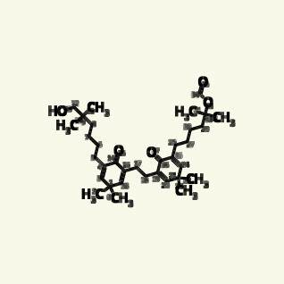 CC1(C)C=C(CCCCC(C)(C)CO)C(=O)C(CCC2=CC(C)(C)C=C(CCCCC(C)(C)OC=O)C2=O)=C1